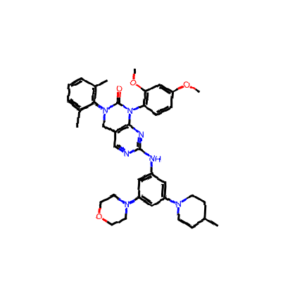 COc1ccc(N2C(=O)N(c3c(C)cccc3C)Cc3cnc(Nc4cc(N5CCOCC5)cc(N5CCC(C)CC5)c4)nc32)c(OC)c1